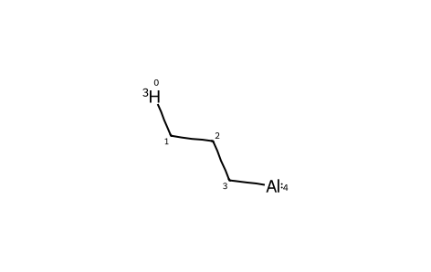 [3H]CC[CH2][Al]